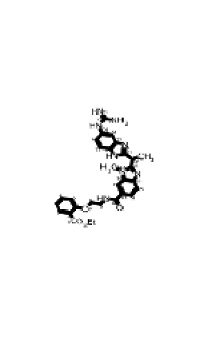 CCOC(=O)c1ccccc1OCCNC(=O)c1ccc2nc(C(C)c3nc4cc(NC(=N)N)ccc4[nH]3)n(C)c2c1